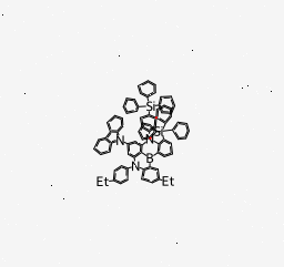 CCc1ccc(N2c3ccc(CC)cc3B3c4cccc([Si](c5ccccc5)(c5ccccc5)c5ccccc5)c4N(c4ccc([Si](c5ccccc5)(c5ccccc5)c5ccccc5)cc4)c4cc(-n5c6ccccc6c6ccccc65)cc2c43)cc1